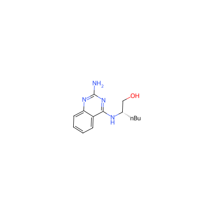 CCCC[C@@H](CO)Nc1nc(N)nc2ccccc12